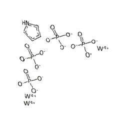 O=P([O-])([O-])[O-].O=P([O-])([O-])[O-].O=P([O-])([O-])[O-].O=P([O-])([O-])[O-].[W+4].[W+4].[W+4].c1cc[nH]c1